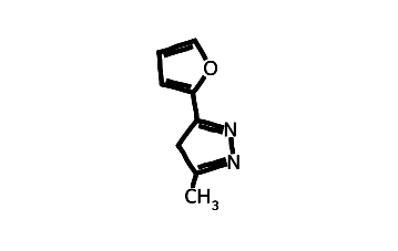 CC1=NN=C(c2ccco2)C1